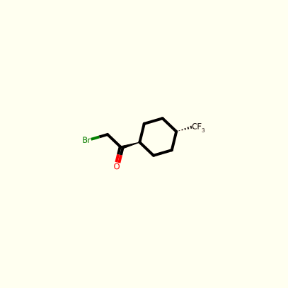 O=C(CBr)[C@H]1CC[C@H](C(F)(F)F)CC1